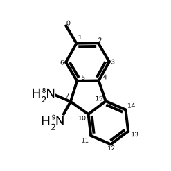 Cc1ccc2c(c1)C(N)(N)c1ccccc1-2